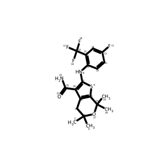 CC1(C)Cc2c(sc(Nc3ccc(F)cc3C(F)(F)F)c2C(N)=O)C(C)(C)O1